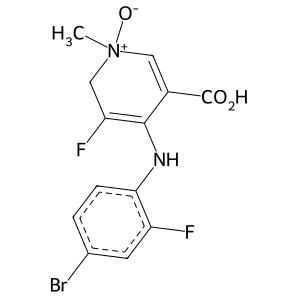 C[N+]1([O-])C=C(C(=O)O)C(Nc2ccc(Br)cc2F)=C(F)C1